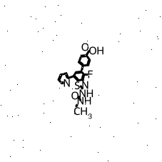 CCNC(=O)Nc1nc2c(F)c(-c3ccc(C(=O)O)cc3)cc(-c3ccccn3)c2s1